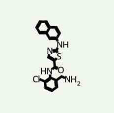 NCc1cccc(Cl)c1NC(=O)c1cnc(Nc2ccc3ccccc3c2)s1